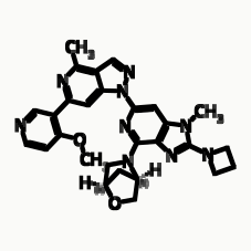 COc1ccncc1-c1cc2c(cnn2-c2cc3c(nc(N4CCC4)n3C)c(N3C[C@H]4C[C@@H]3CO4)n2)c(C)n1